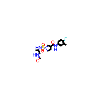 Cc1cc(NC(=O)C2CCN(S(=O)(=O)NC(C)CNC=O)C2)ccc1F